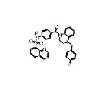 O=C(c1ccc(NS(=O)(=O)c2cccc3cccnc23)cc1)N1CCN(Cc2ccc(F)cc2)c2ccccc21